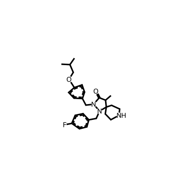 CC(C)COc1ccc(CN2C(=O)C(C)C3(CCNCC3)N2Cc2ccc(F)cc2)cc1